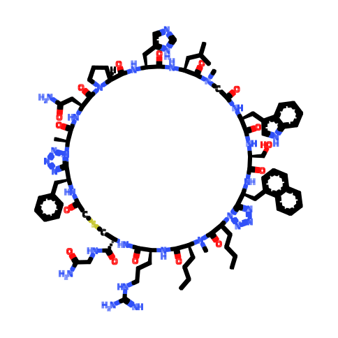 CCCCC1C(=O)N(C)[C@@H](CCCC)C(=O)N[C@@H](CCCNC(=N)N)C(=O)N[C@H](C(=O)NCC(N)=O)CSCC(=O)N[C@@H](Cc2ccccc2)c2nnnn2[C@@H](C)C(=O)N[C@@H](CC(N)=O)C(=O)N2CCC[C@H]2C(=O)N[C@@H](Cc2cnc[nH]2)C(=O)N[C@@H](CC(C)C)C(=O)N(C)CC(=O)N[C@@H](Cc2c[nH]c3ccccc23)C(=O)N[C@@H](CO)C(=O)N[C@@H](Cc2cccc3ccccc23)c2nnnn21